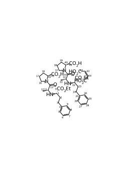 CCOC(=O)[C@H](CCc1ccccc1)N[C@@H](C)C(=O)N1CCC[C@H]1C(=O)O.CCOC(=O)[C@H](CCc1ccccc1)N[C@@H](C)C(=O)N1CCC[C@H]1C(=O)O.O=C(O)/C=C\C(=O)O